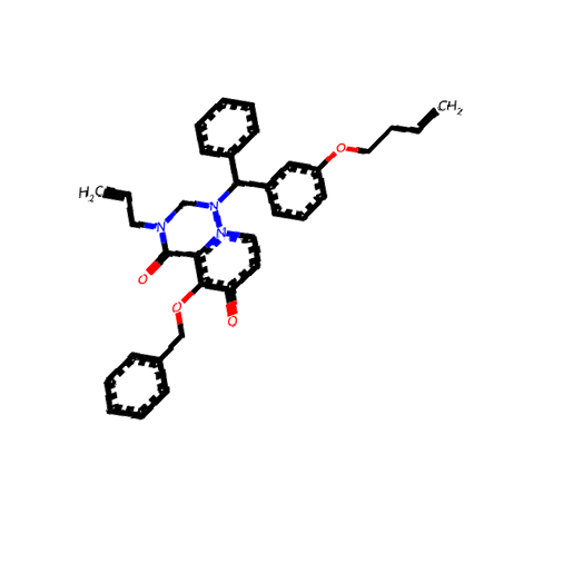 C=CCCOc1cccc(C(c2ccccc2)N2CN(CC=C)C(=O)c3c(OCc4ccccc4)c(=O)ccn32)c1